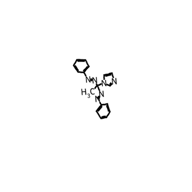 CC(N=Nc1ccccc1)(N=Nc1ccccc1)n1ccnc1